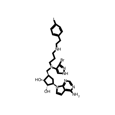 Nc1ncnc2c1ccn2[C@@H]1C[C@H](CN(CCCNCCc2ccc(I)cc2)c2c[nH]nc2Br)[C@@H](O)[C@H]1O